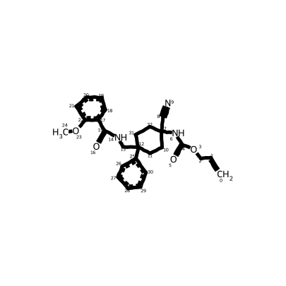 C=CCOC(=O)NC1(C#N)CCC(CNC(=O)c2ccccc2OC)(c2ccccc2)CC1